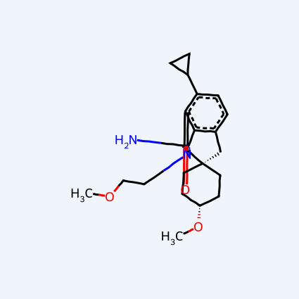 COCCN1C(=O)C2(N=C1N)c1cc(C3CC3)ccc1C[C@]21CC[C@@H](OC)CC1